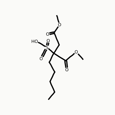 CCCCCC(CC(=O)OC)(C(=O)OC)S(=O)(=O)O